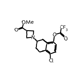 COC(=O)C1CN(C2CCc3c(Cl)ccc(OC(=O)C(F)(F)F)c3C2)C1